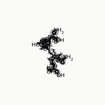 CCCCCCN(C(=O)[C@@H](NC(=O)[C@H]1CCCCN1CCN)[C@@H](C)CC)[C@H](C[C@@H](OCC)c1nc(C(=O)N[C@@H](Cc2ccc(O)cc2)CC(C)(C)C(=O)O)cs1)C(C)CC#CCCCON(C(=O)[C@@H](NC(=O)[C@@]1(C)CCCN1CCO)[C@@H](C)CC)[C@H](C[C@@H](OC(C)=O)c1nc(C(=O)N[C@@H](Cc2ccc(N)cc2)CC(C)(C)C(=O)O)cs1)C(C)C